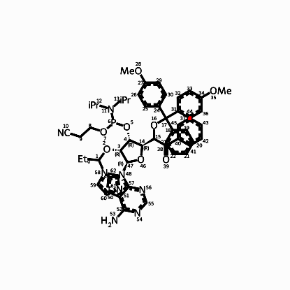 CCC(O[C@@H]1[C@H](OP(OCCC#N)N(C(C)C)C(C)C)[C@@H](C(OC(c2ccccc2)(c2ccc(OC)cc2)c2ccc(OC)cc2)C(=O)c2ccccc2)O[C@H]1n1cnc2c(N)ncnc21)n1ccnc1